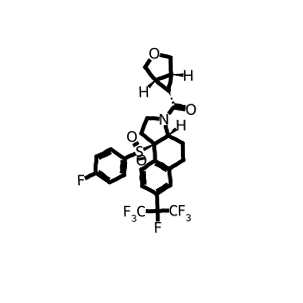 O=C([C@@H]1[C@@H]2COC[C@@H]21)N1CC[C@@]2(S(=O)(=O)c3ccc(F)cc3)c3ccc(C(F)(C(F)(F)F)C(F)(F)F)cc3CC[C@@H]12